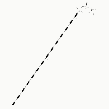 C#CC#CC#CC#CC#CC#CC#CC#CC#CC#CC#CC#CC#CC#C[Si](C)(C)C[Si](C)(C)O[Si](C)(C)C